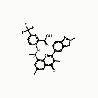 Cc1cc([C@@H](C)Nc2ccc(C(F)(F)F)nc2C(=O)O)c2oc(-c3ccc4nn(C)cc4c3)c(C)c(=O)c2c1